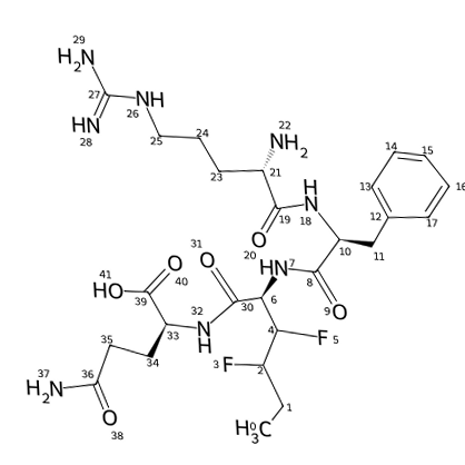 CCC(F)C(F)[C@H](NC(=O)[C@H](Cc1ccccc1)NC(=O)[C@@H](N)CCCNC(=N)N)C(=O)N[C@@H](CCC(N)=O)C(=O)O